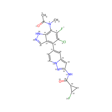 CC(=O)N(C)c1c(F)c(Cl)c(-c2ccn3nc(NC(=O)C4CC4F)cc3c2)c2cn[nH]c12